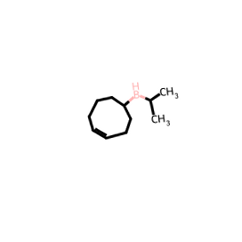 CC(C)BC1CC/C=C\CCC1